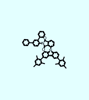 Cc1cc(C)c(-c2ccc3c(c2)c2cc(-c4c(C)cc(C)cc4C)ccc2n3-c2cccc3c2C(=O)N(c2ccc(-c4ccccc4)cc2-c2ccccc2)C3=O)c(C)c1